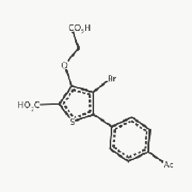 CC(=O)c1ccc(-c2sc(C(=O)O)c(OCC(=O)O)c2Br)cc1